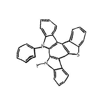 In1c2ccccc2c2c3sc4ccccc4c3c3c4ccccc4n(-c4ccccc4)c3c21